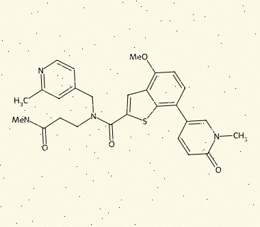 CNC(=O)CCN(Cc1ccnc(C)c1)C(=O)c1cc2c(OC)ccc(-c3ccc(=O)n(C)c3)c2s1